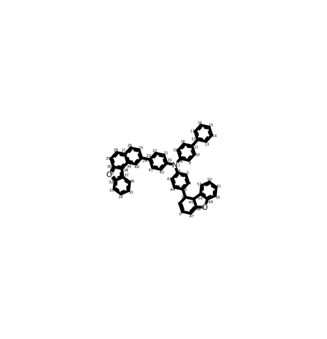 C1=CC(c2ccc(N(c3ccc(-c4ccccc4)cc3)c3ccc(-c4ccc5ccc6oc7ccccc7c6c5c4)cc3)cc2)C2C(=C1)Oc1ccccc12